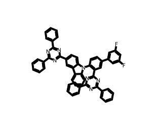 Fc1cc(F)cc(-c2ccc(-n3c4ccccc4c4cc(-c5nc(-c6ccccc6)nc(-c6ccccc6)n5)ccc43)c(-c3nc(-c4ccccc4)nc(-c4ccccc4)n3)c2)c1